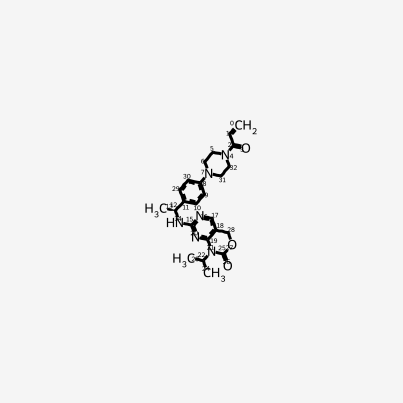 C=CC(=O)N1CCN(c2ccc([C@H](C)Nc3ncc4c(n3)N(C(C)C)C(=O)OC4)cc2)CC1